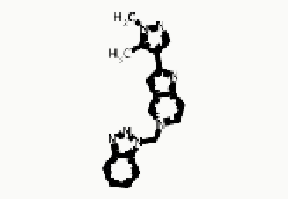 Cc1c(-c2cc3cn(Cn4nnc5ccccc54)ccc-3n2)cnn1C